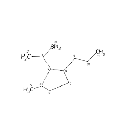 BC(C)C1C(C)CCC1CCC